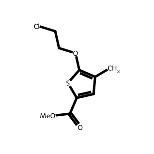 COC(=O)c1cc(C)c(OCCCl)s1